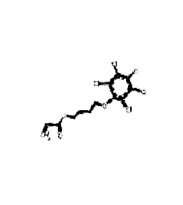 C=CC(=O)OCCCCOc1c(Cl)c(Cl)c(Cl)c(Cl)c1Cl